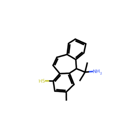 Cc1cc(S)c2c(c1)C(C(C)(C)N)c1ccccc1C=C2